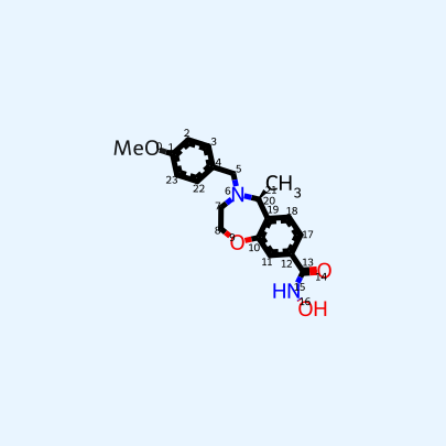 COc1ccc(CN2CCOc3cc(C(=O)NO)ccc3[C@@H]2C)cc1